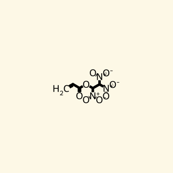 C=CC(=O)OC(C([N+](=O)[O-])[N+](=O)[O-])[N+](=O)[O-]